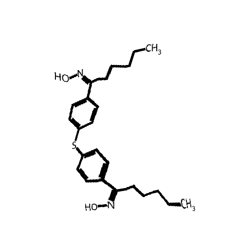 CCCCC/C(=N/O)c1ccc(Sc2ccc(/C(CCCCC)=N\O)cc2)cc1